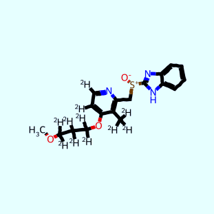 [2H]c1nc(C[S+]([O-])c2nc3ccccc3[nH]2)c(C([2H])([2H])[2H])c(OC([2H])([2H])C([2H])([2H])C([2H])([2H])OC)c1[2H]